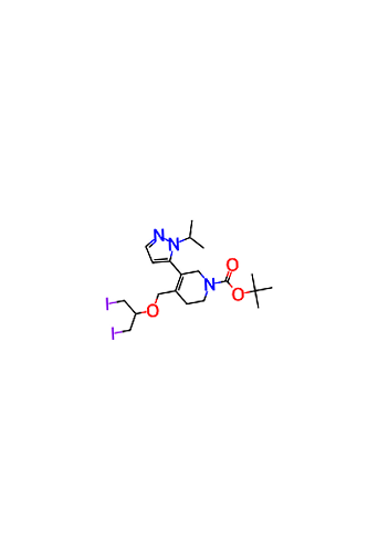 CC(C)n1nccc1C1=C(COC(CI)CI)CCN(C(=O)OC(C)(C)C)C1